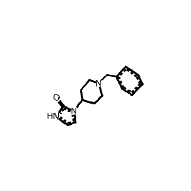 O=c1[nH]ccn1C1CCN(Cc2ccccc2)CC1